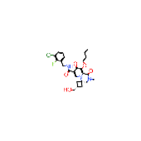 CCCCOc1c2n(cc(C(=O)NCc3cccc(Cl)c3F)c1=O)[C@]1(CN(C)C2=O)C[C@@H](CO)C1